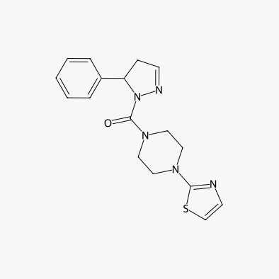 O=C(N1CCN(c2nccs2)CC1)N1N=CCC1c1ccccc1